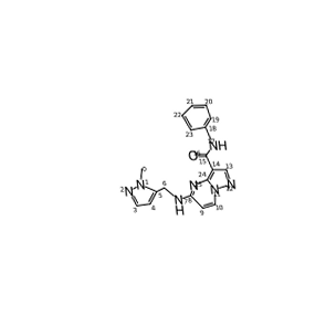 Cn1nccc1CNc1ccn2ncc(C(=O)Nc3ccccc3)c2n1